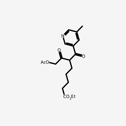 CCOC(=O)CCCCC(C(=O)COC(C)=O)C(=O)c1cncc(C)c1